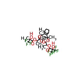 CC(OC(=O)C(C)(O)C(F)(F)F)C(=O)OC(C)(C)C1C2CCC(C2)C1C(C)(C)OC(=O)C(C)OC(=O)C(O)(C(F)(F)F)C(F)(F)F